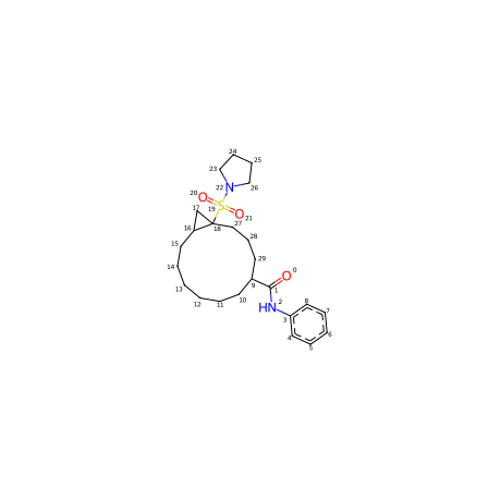 O=C(Nc1ccccc1)C1CCCCCCC2CC2(S(=O)(=O)N2CCCC2)CCC1